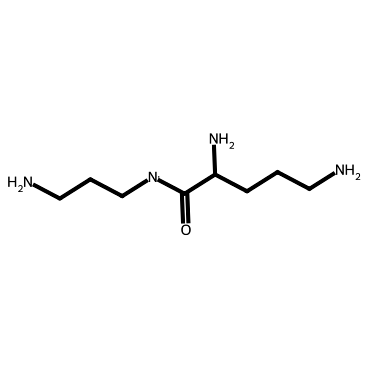 NCCC[N]C(=O)C(N)CCCN